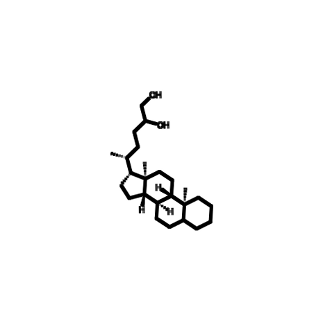 C[C@H](CCC(O)CO)[C@H]1CC[C@H]2[C@@H]3CCC4CCCC[C@]4(C)[C@H]3CC[C@]12C